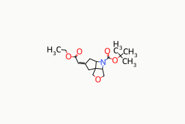 CCOC(=O)/C=C1\CC2N(C(=O)OC(C)(C)C)C3COCC32C1